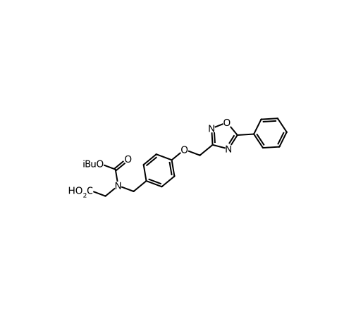 CC(C)COC(=O)N(CC(=O)O)Cc1ccc(OCc2noc(-c3ccccc3)n2)cc1